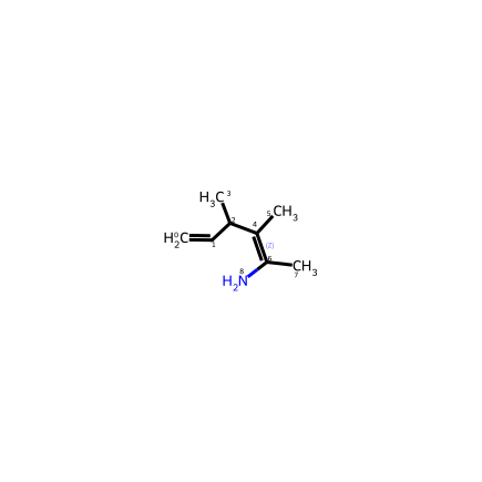 C=CC(C)/C(C)=C(/C)N